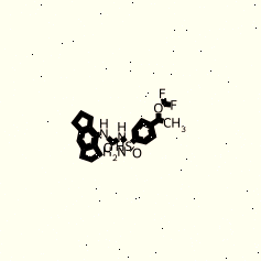 CC(OC(F)F)c1ccc([SH](N)(=O)NC(=O)Nc2c3c(cc4c2CCC4)CCC3)cc1